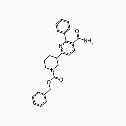 NC(=O)c1ccc(C2CCCN(C(=O)OCc3ccccc3)C2)nc1-c1ccccc1